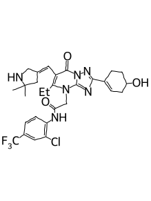 CCc1c(/C=C2/CNC(C)(C)C2)c(=O)n2nc(C3=CCC(O)CC3)nc2n1CC(=O)Nc1ccc(C(F)(F)F)cc1Cl